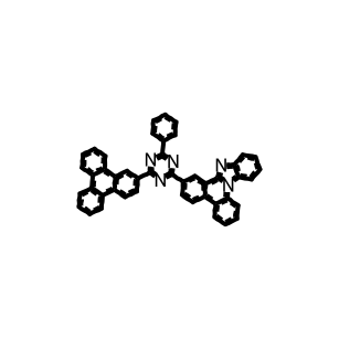 c1ccc(-c2nc(-c3ccc4c5ccccc5c5ccccc5c4c3)nc(-c3ccc4c5ccccc5n5c6ccccc6nc5c4c3)n2)cc1